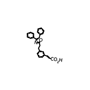 O=C(O)/C=C/c1cccc(CCc2nc(-c3ccccc3)c(-c3ccccc3)o2)c1